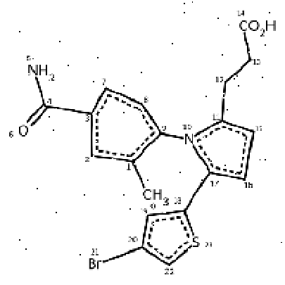 Cc1cc(C(N)=O)ccc1-n1c(CCC(=O)O)ccc1-c1cc(Br)cs1